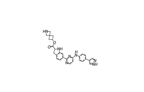 O=C(OC1CC2(CNC2)C1)C1Cc2ccc(-c3nccc(Nc4ccc(-c5cn[nH]c5)cc4)n3)cc2N1